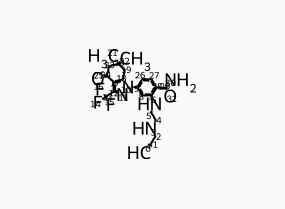 C#CCNCCNc1cc(-n2nc(C(F)(F)F)c3c2CC(C)(C)CC3=O)ccc1C(N)=O